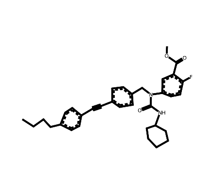 CCCCc1ccc(C#Cc2ccc(CN(C(=O)NC3CCCCC3)c3ccc(F)c(C(=O)OC)c3)cc2)cc1